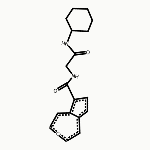 O=C(CNC(=O)c1ccc2cccccc1-2)NC1CCCCC1